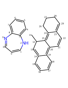 C1=CNc2ccccc2N=C1.CC1C=c2ccccc2=c2ccc3c(c21)CCCC=3